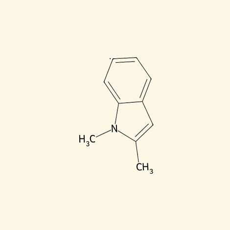 Cc1cc2cc[c]cc2n1C